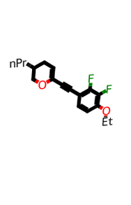 CCCC1CC=C(C#Cc2ccc(OCC)c(F)c2F)OC1